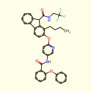 CCCCc1c(Oc2ccc(NC(=O)c3ccccc3Oc3ccccc3)cn2)ccc2c1C(C(=O)NCC(F)(F)F)c1ccccc1-2